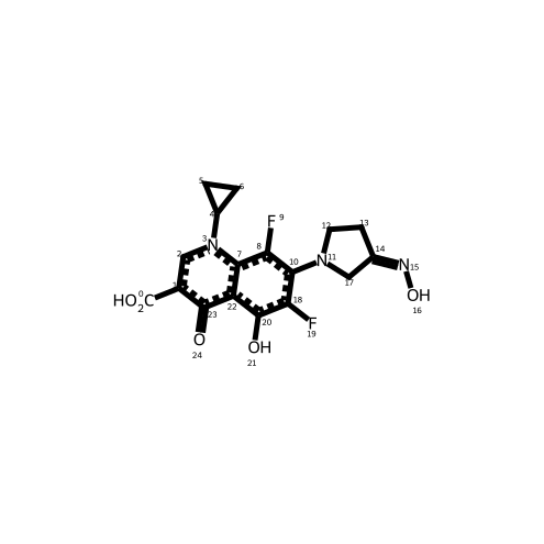 O=C(O)c1cn(C2CC2)c2c(F)c(N3CCC(=NO)C3)c(F)c(O)c2c1=O